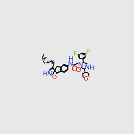 CC=C=C/C=C\C1=CNC(=O)C12Cc1ccc(NC(=O)CN3C(=O)C(C4CCOCC4)NCC3c3cc(F)cc(F)c3)cc1C2